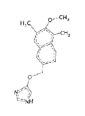 COc1c(C)cc2cc(COc3c[nH]cn3)ccc2c1C